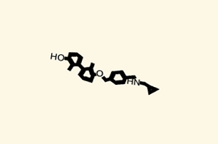 Cc1c(O)cccc1-c1cccc(OCc2ccc(CNCC3CC3)cc2)c1C